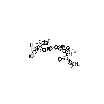 Cc1c(C(=O)NC2CCC(O)CC2)c(-c2cccc(N3CCN(c4ccc(NS(=O)(=O)c5ccc(N[C@H](CCN6CCC(C)(O)CC6)CSc6ccccc6)c(S(=O)(=O)C(F)(F)F)c5)cc4)CC3)c2)c(-c2ccc(F)cc2)n1C